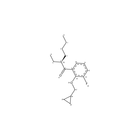 CCCC[C@H](CC)C(=O)c1cccc(F)c1OCC1CC1